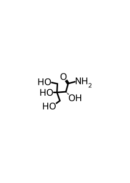 NC(=O)[C@H](O)C(O)(CO)CO